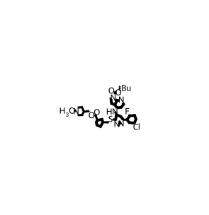 CN1CCC(COC(=O)c2cccc(CSc3nnc(-c4cc(Cl)ccc4F)cc3Nc3ccnc4c3ccn4C(=O)OC(C)(C)C)c2)CC1